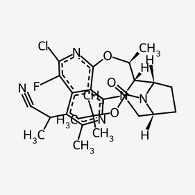 Cc1nc2c3c(nc(Cl)c(F)c3c1C(C)C#N)O[C@@H](C)[C@@H]1[C@@H]3CC[C@H](CN21)N3C(=O)OC(C)(C)C